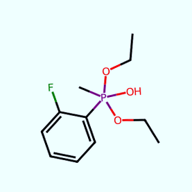 CCOP(C)(O)(OCC)c1ccccc1F